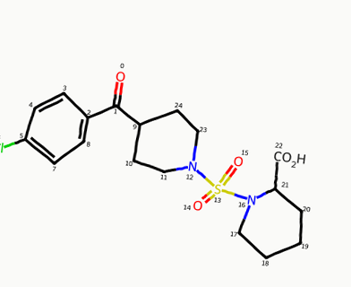 O=C(c1ccc(Cl)cc1)C1CCN(S(=O)(=O)N2CCCCC2C(=O)O)CC1